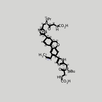 C/C=C\c1cc2c(cc1-c1cnc(CN(C(=O)CNC(=O)O)[C@@H](C)CC)[nH]1)OCc1cc(-c3cnc(CN(CCC)C(=O)CNC(=O)O)[nH]3)ccc1-2